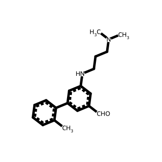 Cc1ccccc1-c1cc(C=O)cc(NCCCN(C)C)c1